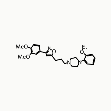 CCOc1ccccc1N1CCN(CCCc2cc(-c3ccc(OC)c(OC)c3)no2)CC1